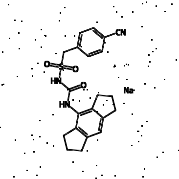 N#Cc1ccc(CS(=O)(=O)NC(=O)Nc2c3c(cc4c2CCC4)CCC3)cc1.[Na]